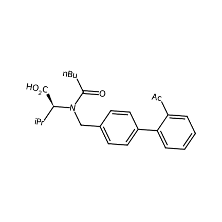 CCCCC(=O)N(Cc1ccc(-c2ccccc2C(C)=O)cc1)[C@H](C(=O)O)C(C)C